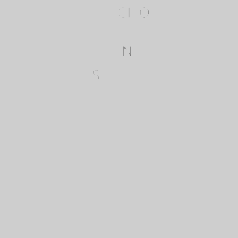 Cc1ccc2c(c1)C=CN(C=O)S2